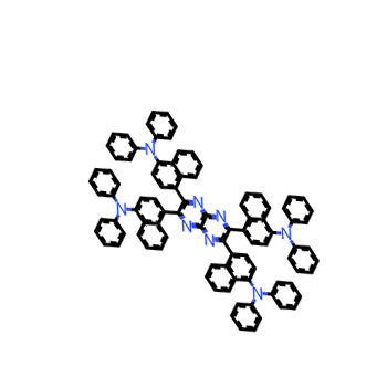 c1ccc(N(c2ccccc2)c2ccc(-c3nc4nc(-c5ccc(N(c6ccccc6)c6ccccc6)c6ccccc56)c(-c5ccc(N(c6ccccc6)c6ccccc6)c6ccccc56)nc4nc3-c3ccc(N(c4ccccc4)c4ccccc4)c4ccccc34)c3ccccc23)cc1